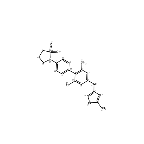 Nc1nc(Nc2cc([SiH3])c(-c3ccc(N4CCCS4(=O)=O)cc3)c(Cl)c2)n[nH]1